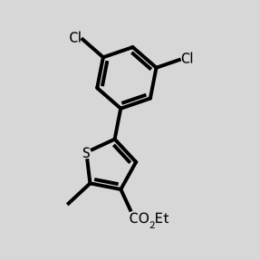 CCOC(=O)c1cc(-c2cc(Cl)cc(Cl)c2)sc1C